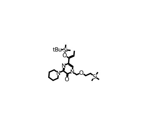 CC=C(O[Si](C)(C)C(C)(C)C)c1cn(COCC[Si](C)(C)C)c(=O)c(N2CCCCC2)n1